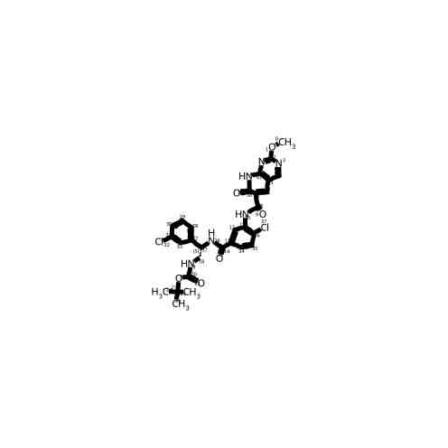 COc1ncc2cc(C(=O)Nc3cc(C(=O)N[C@H](CNC(=O)OC(C)(C)C)c4cccc(Cl)c4)ccc3Cl)c(=O)[nH]c2n1